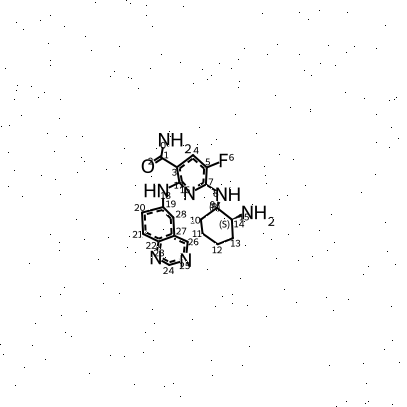 NC(=O)c1cc(F)c(N[C@@H]2CCCC[C@@H]2N)nc1Nc1ccc2ncncc2c1